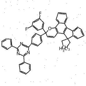 CCC1(CC)c2ccccc2-c2c1c1c(c3ccccc23)OC(c2ccc(-c3nc(-c4ccccc4)nc(-c4ccccc4)n3)cc2)(c2cc(F)cc(F)c2)C=C1